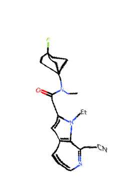 CCn1c(C(=O)N(C)C23CC(F)(C2)C3)cc2ccnc(C#N)c21